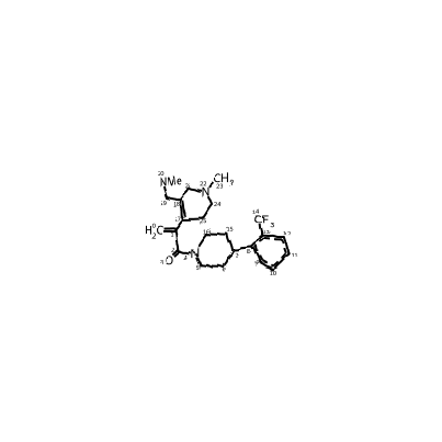 C=C(C(=O)N1CCC(c2ccccc2C(F)(F)F)CC1)C1=C(CNC)CN(C)CC1